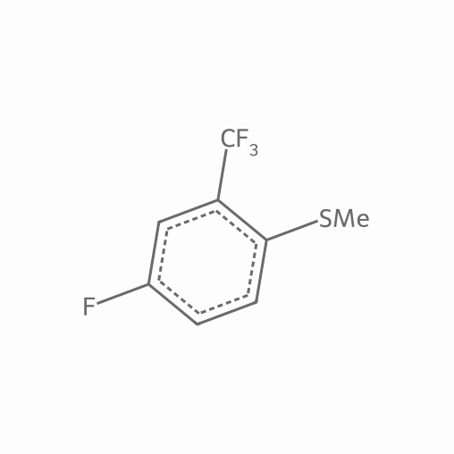 CSc1ccc(F)cc1C(F)(F)F